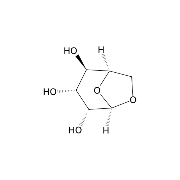 O[C@@H]1[C@@H](O)[C@H]2CO[C@H](O2)[C@@H]1O